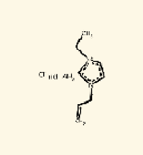 C=CCn1cc[n+](CC)c1.Cl.[AlH3].[Cl-]